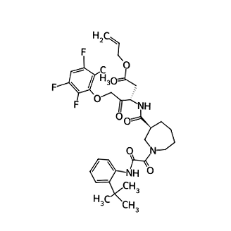 C=CCOC(=O)C[C@H](NC(=O)[C@H]1CCCCN(C(=O)C(=O)Nc2ccccc2C(C)(C)C)C1)C(=O)COc1c(C)c(F)cc(F)c1F